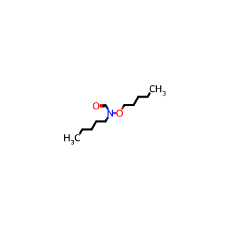 CCCCCON(C=O)CCCCC